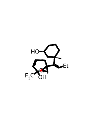 CC/C=C(/C1(C/C=C\C(O)(C(F)(F)F)C(F)(F)F)CC1)[C@@]1(C)CCC[C@H](O)C1